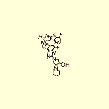 N#Cc1c(N)sc2c(F)cnc(-c3c4c(c5cnc(N6CC(O)C(N7CCCCC7)C6)nc5c3F)COC4)c12